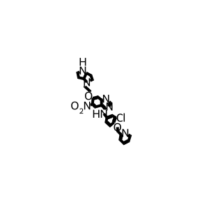 O=[N+]([O-])c1cc2c(Nc3ccc(OCc4ccccn4)c(Cl)c3)ncnc2cc1OCCN1CCC2NCCC21